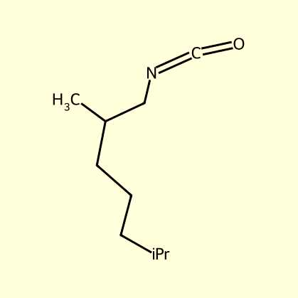 CC(C)CCCC(C)CN=C=O